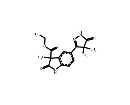 CCOC(=O)C1(C)C(=O)Nc2ccc(C3=NNC(=O)C3(C)C)cc21